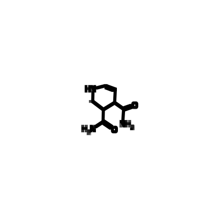 NC(=O)C1[CH]NC=CC1C(N)=O